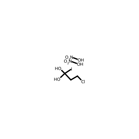 O=[N+]([O-])O.O=[N+]([O-])O.OC(O)(I)CCCl